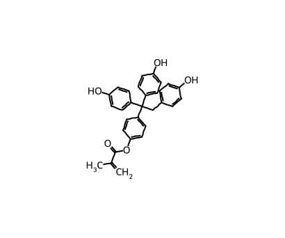 C=C(C)C(=O)Oc1ccc(C(Cc2ccc(O)cc2)(c2ccc(O)cc2)c2ccc(O)cc2)cc1